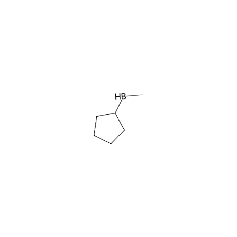 CBC1CCCC1